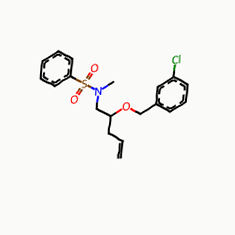 C=CCC(CN(C)S(=O)(=O)c1ccccc1)OCc1cccc(Cl)c1